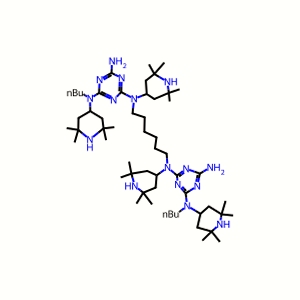 CCCCN(c1nc(N)nc(N(CCCCCCN(c2nc(N)nc(N(CCCC)C3CC(C)(C)NC(C)(C)C3)n2)C2CC(C)(C)NC(C)(C)C2)C2CC(C)(C)NC(C)(C)C2)n1)C1CC(C)(C)NC(C)(C)C1